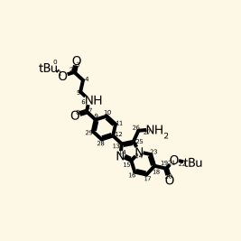 CC(C)(C)OC(=O)CCNC(=O)c1ccc(-c2nc3ccc(C(=O)OC(C)(C)C)cn3c2CN)cc1